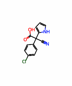 N#CC(C(=O)O)(c1ccc(Cl)cc1)c1ccc[nH]1